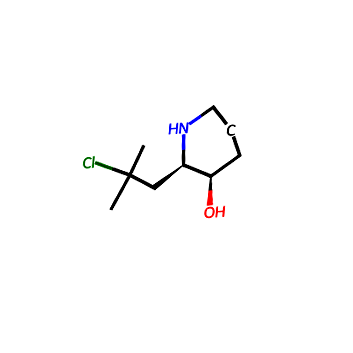 CC(C)(Cl)C[C@H]1NCCC[C@H]1O